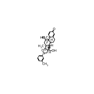 Cc1cccc(N2C[C@@H]3C[C@H]4[C@@H]5CCC6=CC(=O)C=C[C@]6(C)[C@@]5(F)[C@@H](O)C[C@]4(C)[C@]3(C(=O)CO)O2)c1